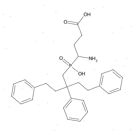 NC(CCC(=O)O)P(=O)(O)CC(CCc1ccccc1)(CCc1ccccc1)c1ccccc1